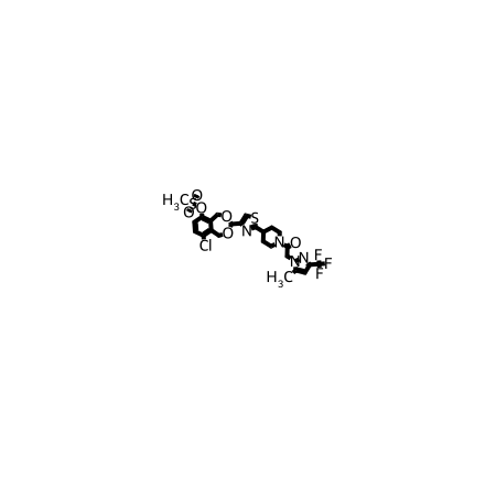 Cc1cc(C(F)(F)F)nn1CC(=O)N1CCC(c2nc(C3OCc4c(Cl)ccc(OS(C)(=O)=O)c4CO3)cs2)CC1